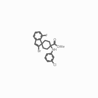 COC(=O)C1(Nc2cccc(Cl)c2)CCC2(CC1)C(Br)=Cc1cccc(F)c12